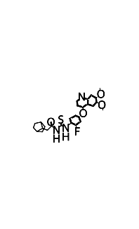 COc1cc2nccc(Oc3ccc(NC(=S)NC(=O)CC4C5CCC4CC5)c(F)c3)c2cc1OC